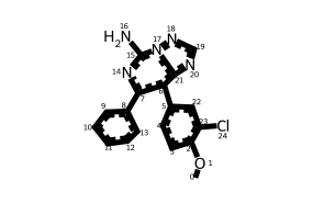 COc1ccc(-c2c(-c3ccccc3)nc(N)n3ncnc23)cc1Cl